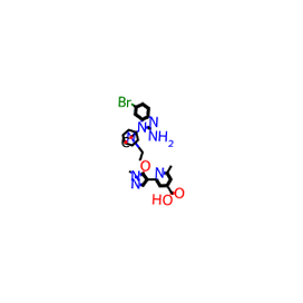 Cc1cc(C(=O)O)cc(-c2cnn(C)c2OCCN2CC3CCC(n4c(N)nc5ccc(Br)cc54)(CC3)C2)n1